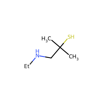 CCNCC(C)(C)S